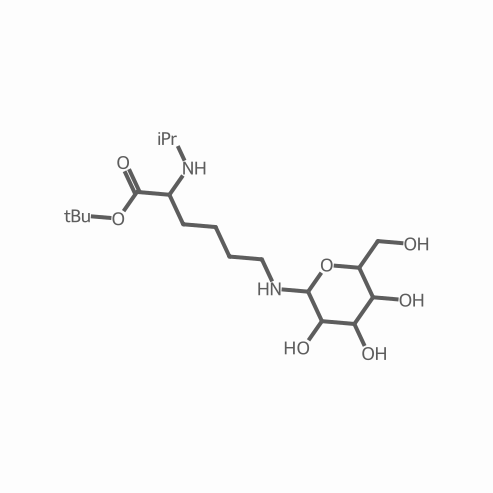 CC(C)NC(CCCCNC1OC(CO)C(O)C(O)C1O)C(=O)OC(C)(C)C